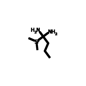 CCCC(N)(N)[Si](C)C